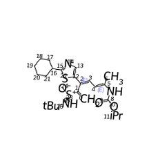 C=C(/C(=C\C=C(/C)NC(=O)OC(C)C)c1cnc(C2CCCCC2)s1)[S+]([O-])NC(C)(C)C